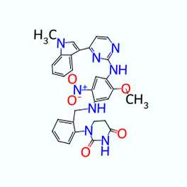 COc1cc(NCc2ccccc2N2CCC(=O)NC2=O)c([N+](=O)[O-])cc1Nc1nccc(-c2cn(C)c3ccccc23)n1